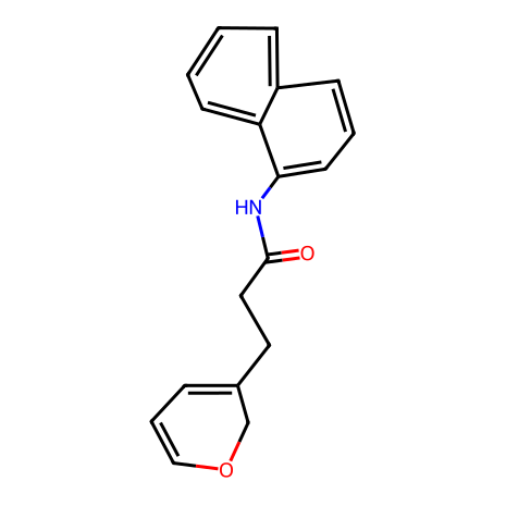 O=C(CCC1=CC=COC1)Nc1cccc2ccccc12